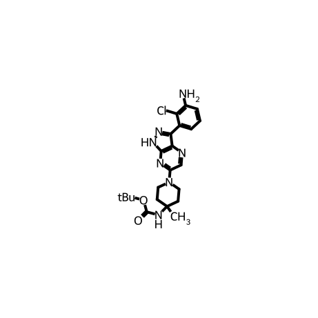 CC1(NC(=O)OC(C)(C)C)CCN(c2cnc3c(-c4cccc(N)c4Cl)n[nH]c3n2)CC1